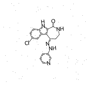 O=C1NCC/C(=N\Nc2cccnc2)c2c1[nH]c1ccc(Cl)cc21